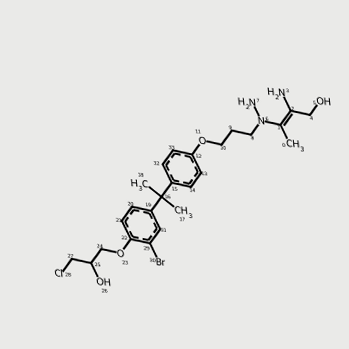 C/C(=C(/N)CO)N(N)CCCOc1ccc(C(C)(C)c2ccc(OCC(O)CCl)c(Br)c2)cc1